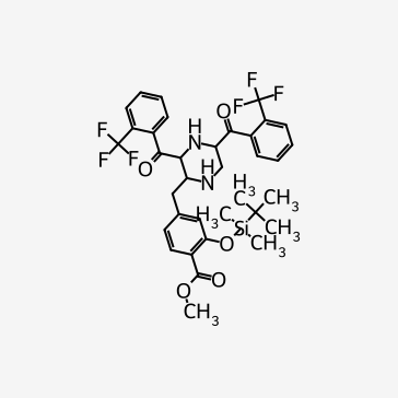 COC(=O)c1ccc(CC2NCC(C(=O)c3ccccc3C(F)(F)F)NC2C(=O)c2ccccc2C(F)(F)F)cc1O[Si](C)(C)C(C)(C)C